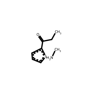 CCC(=O)c1cccs1.CN